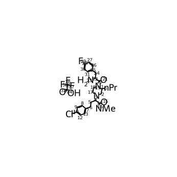 CCCC1CN(C(CCc2ccc(Cl)cc2)C(=O)NC)CCN1C(=O)C(N)Cc1ccc(F)cc1.O=C(O)C(F)(F)F